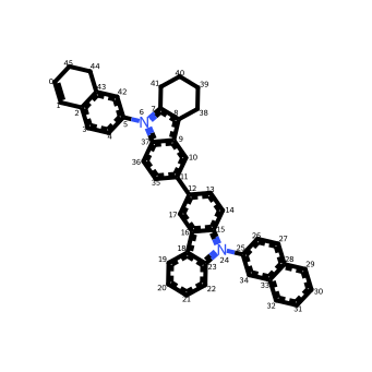 C1=Cc2ccc(-n3c4c(c5cc(-c6ccc7c(c6)c6ccccc6n7-c6ccc7ccccc7c6)ccc53)CCCC4)cc2CC1